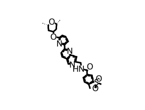 Cc1ccc(C(=O)NCc2cc3nc(-c4cccc(OC5C[C@@H](C)O[C@@H](C)C5)n4)ccc3cn2)cc1S(C)(=O)=O